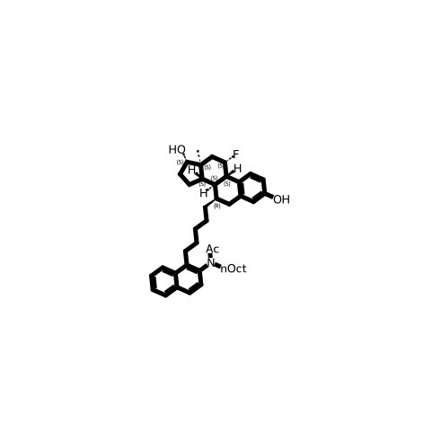 CCCCCCCCN(C(C)=O)c1ccc2ccccc2c1CCCCC[C@@H]1Cc2cc(O)ccc2[C@@H]2[C@@H]1[C@@H]1CC[C@H](O)[C@@]1(C)C[C@@H]2F